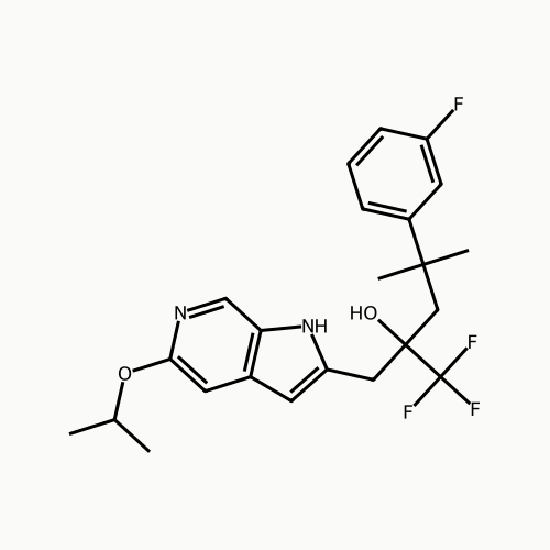 CC(C)Oc1cc2cc(CC(O)(CC(C)(C)c3cccc(F)c3)C(F)(F)F)[nH]c2cn1